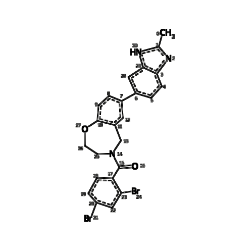 Cc1nc2ccc(-c3ccc4c(c3)CN(C(=O)c3ccc(Br)cc3Br)CCO4)cc2[nH]1